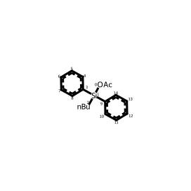 [CH2]C(=O)O[Si](CCCC)(c1ccccc1)c1ccccc1